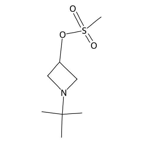 CC(C)(C)N1CC(OS(C)(=O)=O)C1